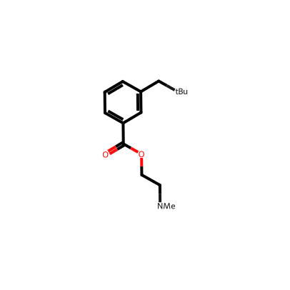 CNCCOC(=O)c1cccc(CC(C)(C)C)c1